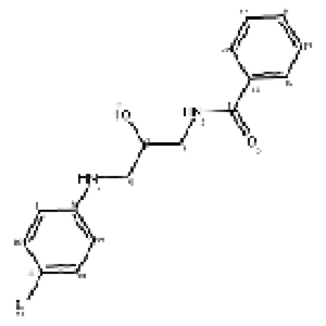 O=C(NCC(O)CNc1ccc(Cl)cc1)c1ccccc1